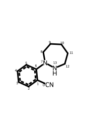 N#Cc1ccccc1N1CCCCCN1